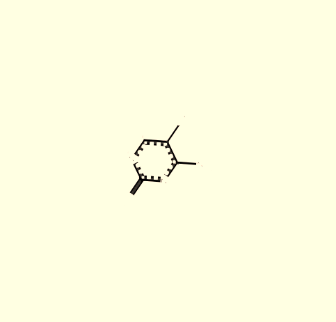 Nc1nc(=O)[nH]cc1I